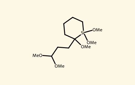 COC(CCC1(OC)CCCC[Si]1(OC)OC)OC